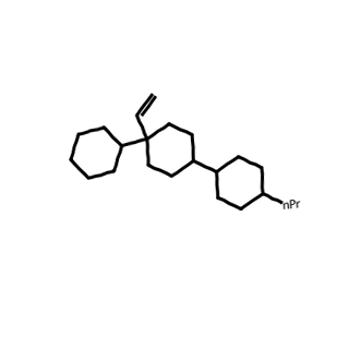 C=CC1(C2CCCCC2)CCC(C2CCC(CCC)CC2)CC1